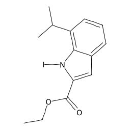 CCOC(=O)c1cc2cccc(C(C)C)c2n1I